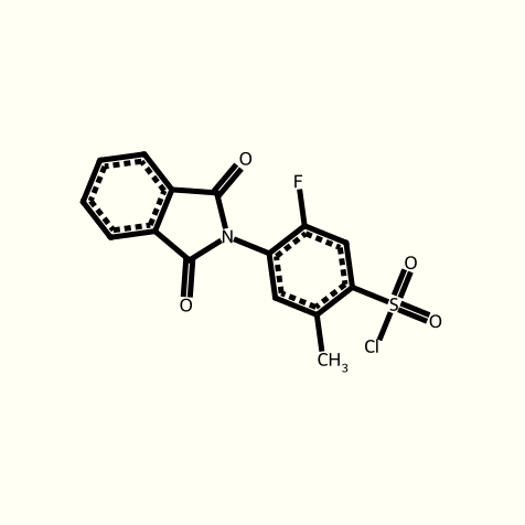 Cc1cc(N2C(=O)c3ccccc3C2=O)c(F)cc1S(=O)(=O)Cl